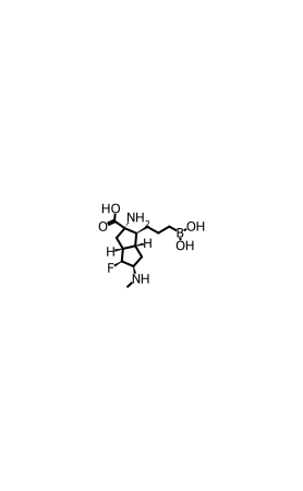 CN[C@@H]1C[C@@H]2[C@@H](C[C@@](N)(C(=O)O)[C@H]2CCCB(O)O)[C@@H]1F